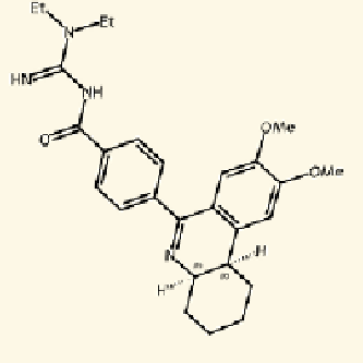 CCN(CC)C(=N)NC(=O)c1ccc(C2=N[C@@H]3CCCC[C@@H]3c3cc(OC)c(OC)cc32)cc1